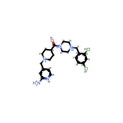 Nc1cc(CN2CCC(C(=O)N3CCN(Cc4ccc(Cl)cc4Cl)CC3)CC2)ccn1